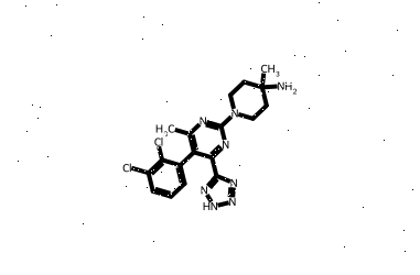 Cc1nc(N2CCC(C)(N)CC2)nc(-c2nn[nH]n2)c1-c1cccc(Cl)c1Cl